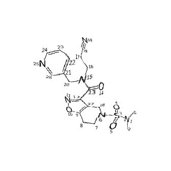 CN(C)S(=O)(=O)N1CCc2onc(C(=O)N(CCC#N)Cc3cccnc3)c2C1